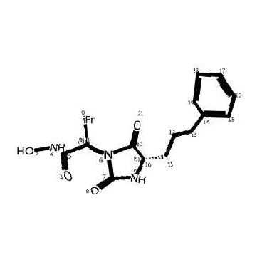 CC(C)[C@H](C(=O)NO)N1C(=O)N[C@@H](CCCc2ccccc2)C1=O